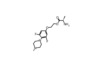 C[C@@H](N)C(=O)OCCOc1cc(F)c(N2CCN(C)CC2)c(F)c1